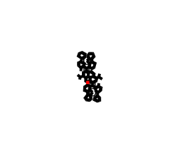 Cc1ccc(-c2ccccc2)cc1N(c1cc(C(C)C)c2ccc3c(N(c4cc(-c5ccccc5)ccc4C)c4c(C)ccc5c4oc4ccccc45)cc(C(C)C)c4ccc1c2c43)c1cccc2c1oc1ccccc12